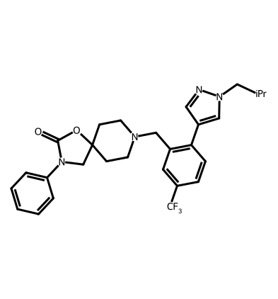 CC(C)Cn1cc(-c2ccc(C(F)(F)F)cc2CN2CCC3(CC2)CN(c2ccccc2)C(=O)O3)cn1